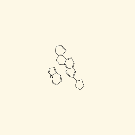 C1=CC2=C(CC1)CCc1c2ccc2cc(C3CCCC3)ccc12.c1ccn2cccc2c1